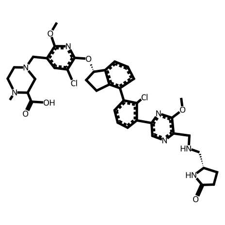 COc1nc(O[C@H]2CCc3c(-c4cccc(-c5cnc(CNC[C@@H]6CCC(=O)N6)c(OC)n5)c4Cl)cccc32)c(Cl)cc1CN1CCN(C)C(C(=O)O)C1